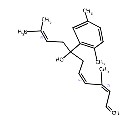 B/C(C)=C/CC(O)(C/C=C\C(C)=C/C=C)c1cc(C)ccc1C